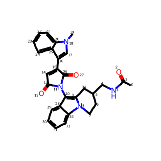 CC(=O)NCC1CCn2c(c(N3C(=O)C=C(c4cn(C)c5ccccc45)C3=O)c3ccccc32)C1